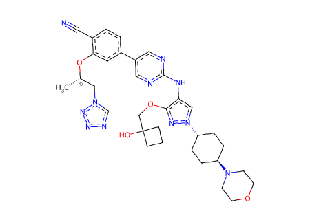 C[C@@H](Cn1cnnn1)Oc1cc(-c2cnc(Nc3cn([C@H]4CC[C@H](N5CCOCC5)CC4)nc3OCC3(O)CCC3)nc2)ccc1C#N